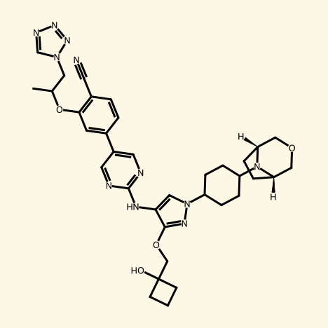 CC(Cn1cnnn1)Oc1cc(-c2cnc(Nc3cn(C4CCC(N5[C@@H]6CC[C@H]5COC6)CC4)nc3OCC3(O)CCC3)nc2)ccc1C#N